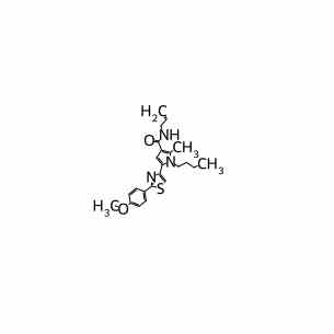 C=CCNC(=O)c1cc(-c2csc(-c3ccc(OC)cc3)n2)n(CCCC)c1C